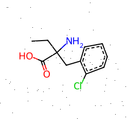 CCC(N)(Cc1ccccc1Cl)C(=O)O